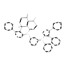 CC1C=CC2(C)C3=C1C(C)C=CC3(C)N(c1cccc(N(c3ccccc3)c3csc(-c4ccccc4)c3-c3ccccc3)c1)c1csc(-c3ccccc3)c12